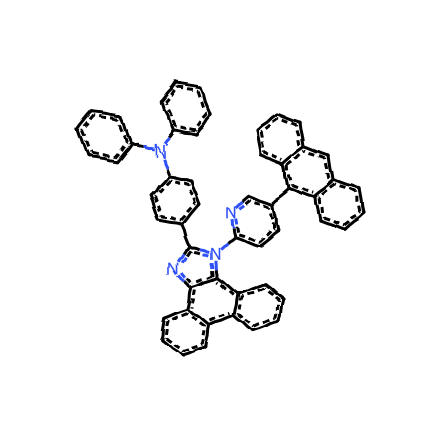 c1ccc(N(c2ccccc2)c2ccc(-c3nc4c5ccccc5c5ccccc5c4n3-c3ccc(-c4c5ccccc5cc5ccccc45)cn3)cc2)cc1